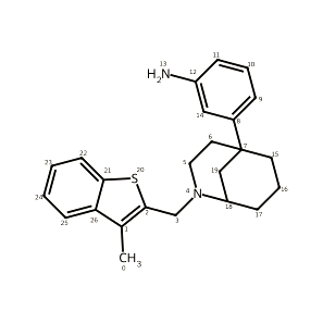 Cc1c(CN2CCC3(c4cccc(N)c4)CCCC2C3)sc2ccccc12